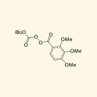 COc1ccc(C(=O)OOC(=O)OCC(C)C)c(OC)c1OC